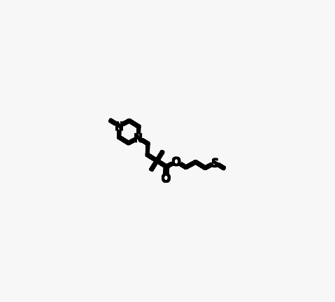 CSCCCOC(=O)C(C)(C)CCN1CCN(C)CC1